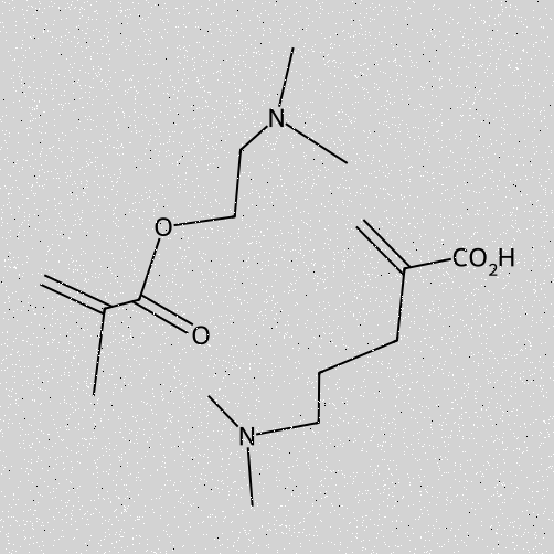 C=C(C)C(=O)OCCN(C)C.C=C(CCCN(C)C)C(=O)O